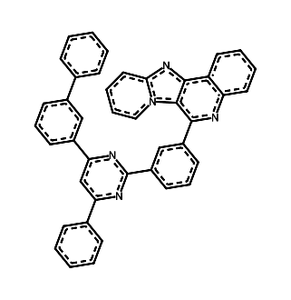 c1ccc(-c2cccc(-c3cc(-c4ccccc4)nc(-c4cccc(-c5nc6ccccc6c6nc7ccccn7c56)c4)n3)c2)cc1